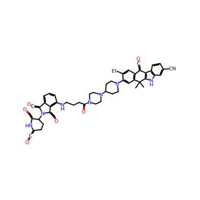 CCc1cc2c(cc1N1CCC(N3CCN(C(=O)CCCNc4cccc5c(=C=O)n(C6CCC(=C=O)NC6=C=O)c(=C=O)c45)CC3)CC1)C(C)(C)c1[nH]c3cc(C#N)ccc3c1C2=C=O